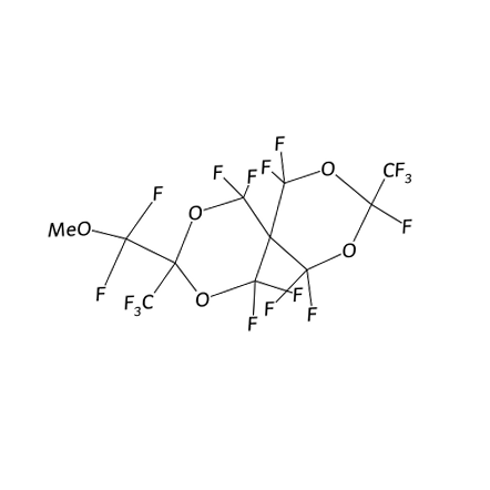 COC(F)(F)C1(C(F)(F)F)OC(F)(F)C2(C(F)(F)OC(F)(C(F)(F)F)OC2(F)F)C(F)(F)O1